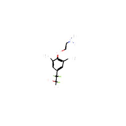 Cc1cc(C(F)(F)C(O)(F)C(F)(F)F)cc(C)c1OCCN(C)C